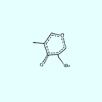 Cc1cocc(C(C)(C)C)c1=O